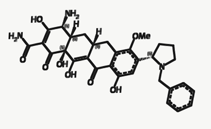 COc1c([C@@H]2CCCN2Cc2ccccc2)cc(O)c2c1C[C@H]1C[C@H]3[C@H](N)C(O)=C(C(N)=O)C(=O)[C@@]3(O)C(O)=C1C2=O